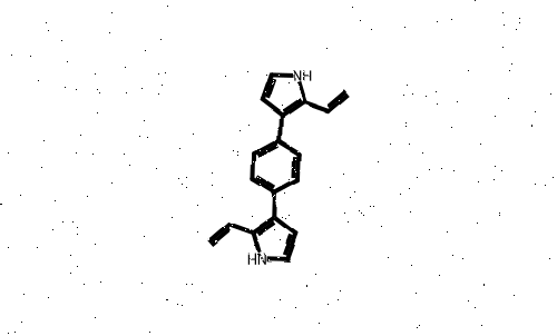 C=Cc1[nH]ccc1-c1ccc(-c2cc[nH]c2C=C)cc1